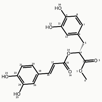 COC(=O)[C@@H](Cc1ccc(O)c(O)c1)OC(=O)C=Cc1ccc(O)c(O)c1